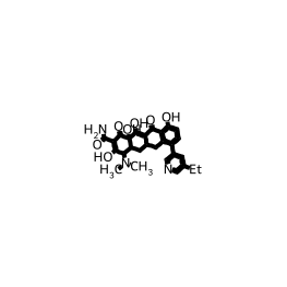 CCc1cncc(-c2ccc(O)c3c2CC2CC4C(N(C)C)C(O)=C(C(N)=O)C(=O)C4(O)C(O)=C2C3=O)c1